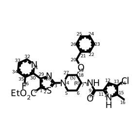 CCOC(=O)c1sc(N2CC[C@@H](NC(=O)c3cc(Cl)c(C)[nH]3)[C@@H](OCc3ccccc3)C2)nc1-c1ncccc1F